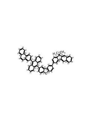 CC1(C)c2ccc(-c3ccc4oc5ccc(-c6c7ccccc7c(-c7ccc8c(ccc9ccccc98)c7)c7ccccc67)cc5c4c3)cc2-c2cc3ccccc3cc21